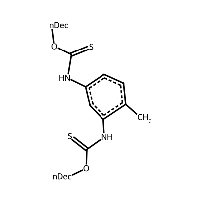 CCCCCCCCCCOC(=S)Nc1ccc(C)c(NC(=S)OCCCCCCCCCC)c1